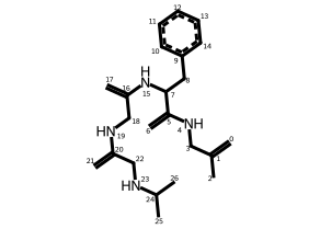 C=C(C)CNC(=C)C(Cc1ccccc1)NC(=C)CNC(=C)CNC(C)C